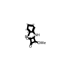 COC1C(=O)C(=O)C1Nc1ccccc1Br